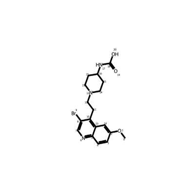 COc1ccc2ncc(Br)c(CCN3CCC(NC(=O)O)CC3)c2c1